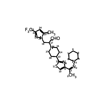 CC(=NN1CCCCC1)c1csc(C2CCN(C(C=O)Cn3nc(C(F)(F)F)cc3C)CC2)n1